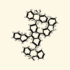 C[Si]1(C)c2ccccc2N(c2ccc3c(-c4ccc5sc6ccccc6c5c4)c4cc(N5c6ccccc6[Si](C)(C)c6ccccc65)ccc4c(-c4ccc5ccccc5c4)c3c2)c2ccccc21